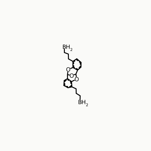 BCCCc1cccc2c1OC1OC2Oc2c(CCCB)cccc21